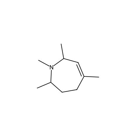 CC1=CC(C)N(C)C(C)CC1